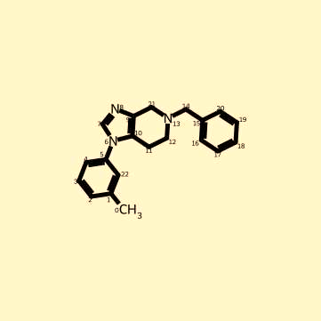 Cc1cccc(-n2cnc3c2CCN(Cc2ccccc2)C3)c1